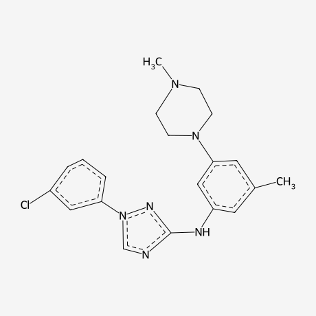 Cc1cc(Nc2ncn(-c3cccc(Cl)c3)n2)cc(N2CCN(C)CC2)c1